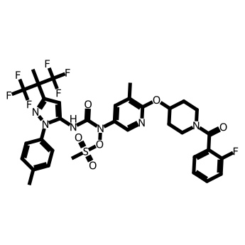 Cc1ccc(-n2nc(C(C)(C(F)(F)F)C(F)(F)F)cc2NC(=O)N(OS(C)(=O)=O)c2cnc(OC3CCN(C(=O)c4ccccc4F)CC3)c(C)c2)cc1